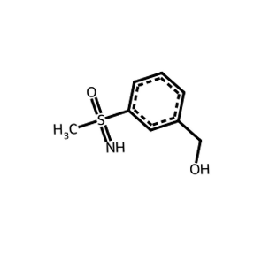 CS(=N)(=O)c1cccc(CO)c1